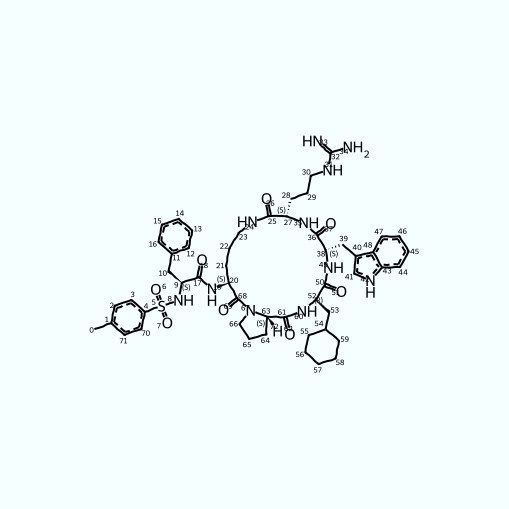 Cc1ccc(S(=O)(=O)N[C@@H](Cc2ccccc2)C(=O)N[C@H]2CCCNC(=O)[C@H](CCCNC(=N)N)NC(=O)[C@H](Cc3c[nH]c4ccccc34)NC(=O)[C@@H](CC3CCCCC3)NC(=O)[C@@H]3CCCN3C2=O)cc1